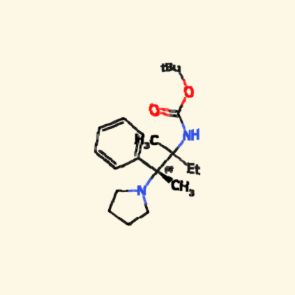 CCC(C)(NC(=O)OC(C)(C)C)[C@@](C)(c1ccccc1)N1CCCC1